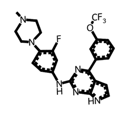 CN1CCN(c2ccc(Nc3nc(-c4cccc(OC(F)(F)F)c4)c4cc[nH]c4n3)cc2F)CC1